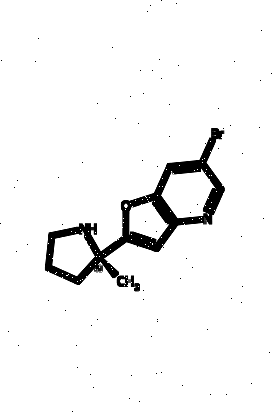 C[C@@]1(c2cc3ncc(Br)cc3o2)CCCN1